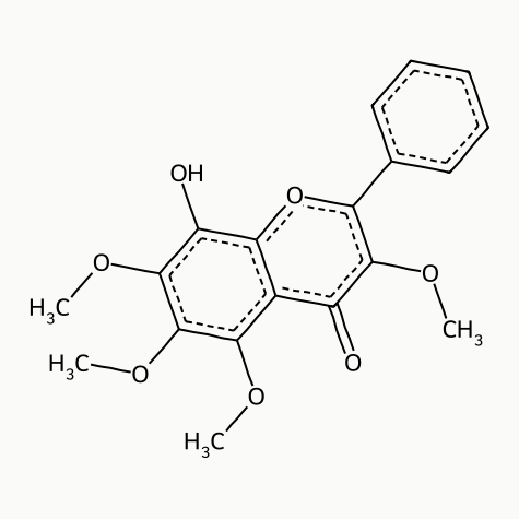 COc1c(OC)c(OC)c2c(=O)c(OC)c(-c3ccccc3)oc2c1O